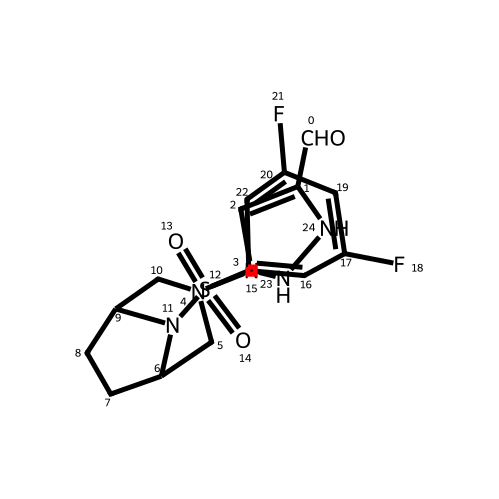 O=CC1=CN(N2CC3CCC(C2)N3S(=O)(=O)c2cc(F)cc(F)c2)NN1